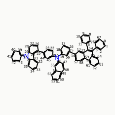 c1ccc(-c2c(-c3ccccc3)c3cc(-c4cccc(N(c5ccc(-c6cccc7c6c6ccccc6n7-c6ccccc6)cc5)c5ccc6ccccc6c5)c4)ccc3c3ccccc23)cc1